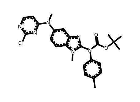 Cc1ccc(N(C(=O)OC(C)(C)C)c2nc3cc(N(C)c4ccnc(Cl)n4)ccc3n2C)cc1